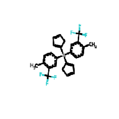 Cc1cc[c]([Ti]([C]2=CC=CC2)([C]2=CC=CC2)[c]2ccc(C)c(C(F)(F)F)c2)cc1C(F)(F)F